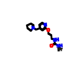 CC(C)NC(=O)NCCCOc1cc(CN2CCCCC2)ccn1